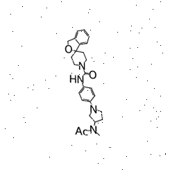 CC(=O)N(C)C1CCN(c2ccc(NC(=O)N3CCC4(CC3)OCc3ccccc34)cc2)C1